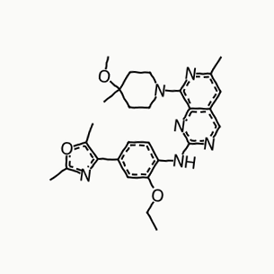 CCOc1cc(-c2nc(C)oc2C)ccc1Nc1ncc2cc(C)nc(N3CCC(C)(OC)CC3)c2n1